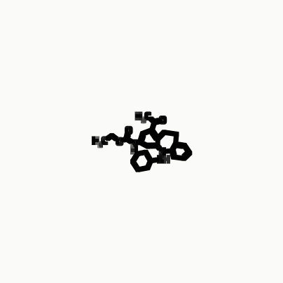 CCOC(=O)Nc1cc(C(C)=O)c2c(c1)N(NC1CCCCC1)c1ccccc1CC2